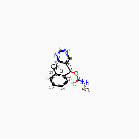 CCNC(=O)OC(c1cncnc1)c1ccccc1C(F)(F)F